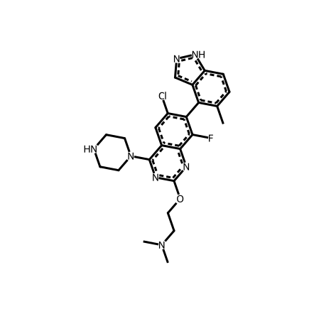 Cc1ccc2[nH]ncc2c1-c1c(Cl)cc2c(N3CCNCC3)nc(OCCN(C)C)nc2c1F